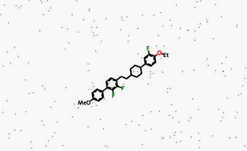 CCOc1ccc(C2CCC(CCc3ccc(-c4ccc(OC)cc4)c(F)c3F)CC2)cc1F